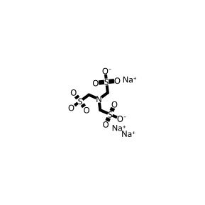 O=S(=O)([O-])CN(CS(=O)(=O)[O-])CS(=O)(=O)[O-].[Na+].[Na+].[Na+]